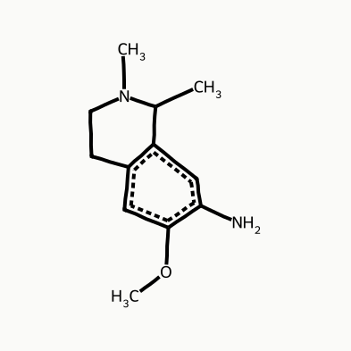 COc1cc2c(cc1N)C(C)N(C)CC2